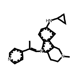 CC(=Cn1c2c(c3cc(NC4CC4)ccc31)CN(C)CC2)c1ccncc1